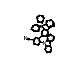 N#Cc1ccc(-n2c3ccccc3c3ccccc32)c(-c2ccc(C#N)c([Si](c3ccccc3)(c3ccccc3)c3ccccc3)c2)c1